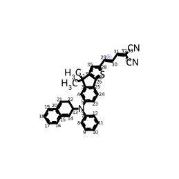 CC1(C)c2cc(N(c3ccccc3)C3C=c4ccccc4=CC3)ccc2-c2sc(/C=C/C=C(C#N)C#N)cc21